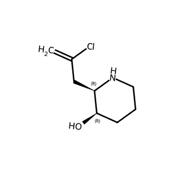 C=C(Cl)C[C@H]1NCCC[C@H]1O